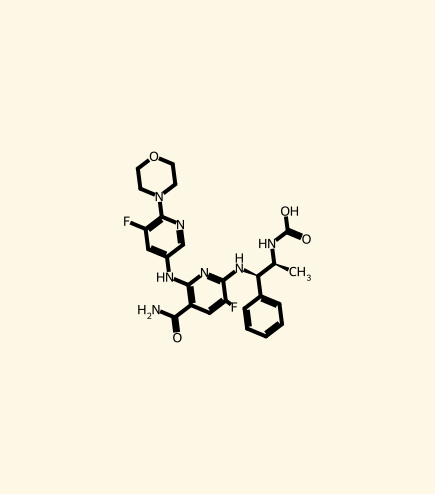 C[C@H](NC(=O)O)[C@H](Nc1nc(Nc2cnc(N3CCOCC3)c(F)c2)c(C(N)=O)cc1F)c1ccccc1